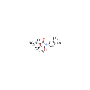 C[C@@]12C[C@@H](C#N)[C@](C)(O1)C1C(=O)N(c3ccc(C#N)c(C(F)(F)F)c3)C(=O)C12